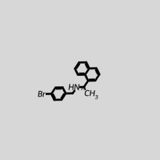 C[C@@H](NCc1ccc(Br)cc1)c1cccc2ccccc12